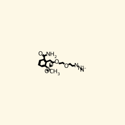 CS(=O)(=O)c1cccc(C(N)=O)c1CCOCCOCCN=[N+]=[N-]